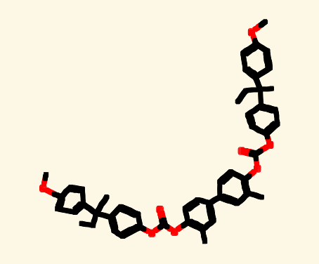 CCC(C)(c1ccc(OC)cc1)c1ccc(OC(=O)Oc2ccc(-c3ccc(OC(=O)Oc4ccc(C(C)(CC)c5ccc(OC)cc5)cc4)c(C)c3)cc2C)cc1